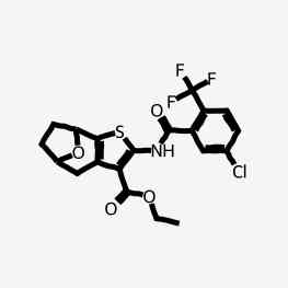 CCOC(=O)c1c(NC(=O)c2cc(Cl)ccc2C(F)(F)F)sc2c1CC1CCC2O1